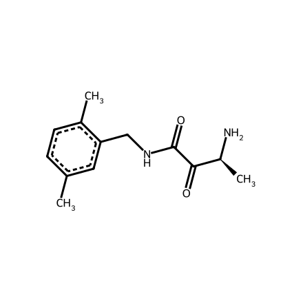 Cc1ccc(C)c(CNC(=O)C(=O)[C@H](C)N)c1